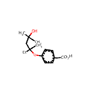 CCC(C)(CC(C)(C)O)Oc1ccc(C(=O)O)cc1